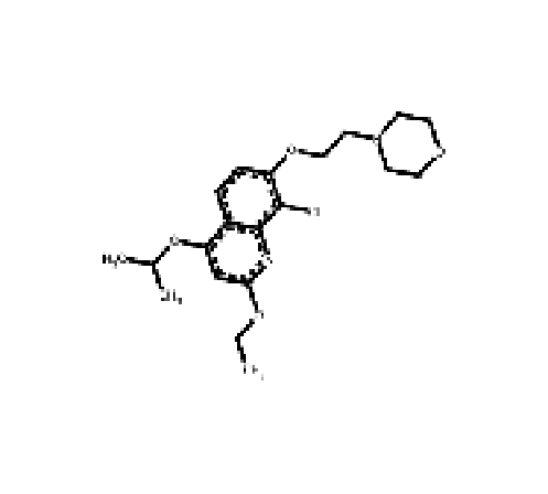 CCOc1cc(OC(C)C)c2ccc(OCCN3CCOCC3)c(Cl)c2n1